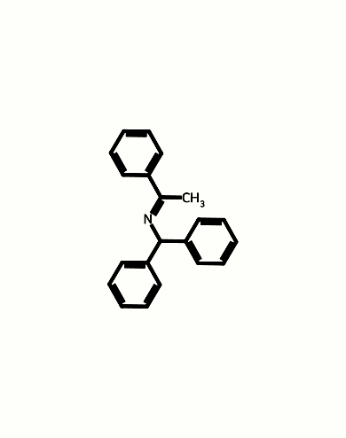 CC(=NC(c1ccccc1)c1ccccc1)c1ccccc1